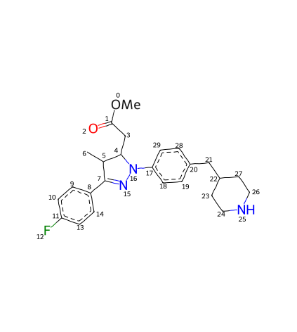 COC(=O)CC1C(C)C(c2ccc(F)cc2)=NN1c1ccc(CC2CCNCC2)cc1